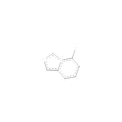 Clc1cccc2cncn12